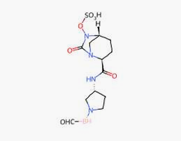 O=CBN1CC[C@@H](NC(=O)[C@@H]2CC[C@@H]3CN2C(=O)N3OS(=O)(=O)O)C1